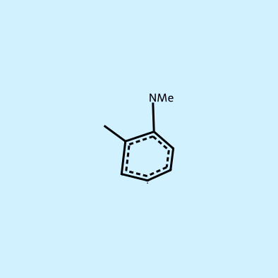 CNc1cc[c]cc1C